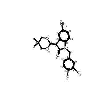 CC1(C)COC(C2C(=O)N(Cc3ccc(Cl)c(Cl)c3)c3ccc(N)cc32)OC1